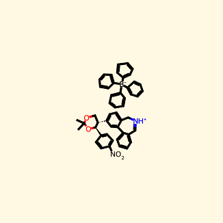 CC1(C)OC[C@H](c2ccc3c(c2)-c2ccccc2C=[NH+]C3)[C@@H](c2ccc([N+](=O)[O-])cc2)O1.c1ccc([B-](c2ccccc2)(c2ccccc2)c2ccccc2)cc1